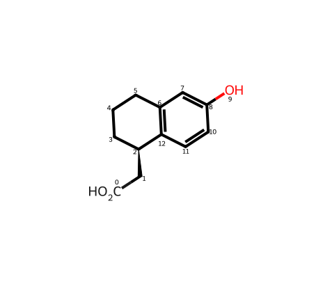 O=C(O)C[C@H]1CCCc2cc(O)ccc21